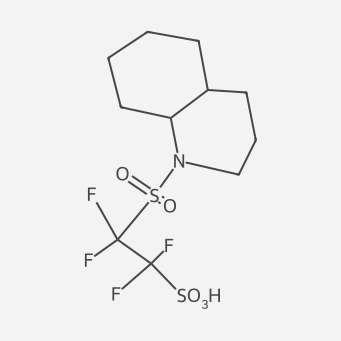 O=S(=O)(O)C(F)(F)C(F)(F)S(=O)(=O)N1CCCC2CCCCC21